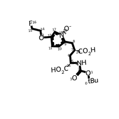 CC(C)(C)OC(=O)N[C@@H](C[C@H](Cc1ccc(OCCF)c[n+]1[O-])C(=O)O)C(=O)O